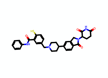 O=C1CCC(N2Cc3cc(C4CCN(Cc5ccc(S)c(C(=O)Nc6ccccc6)c5)CC4)ccc3C2=O)C(=O)N1